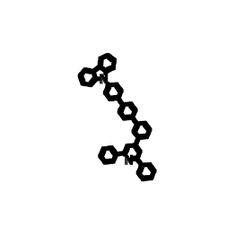 c1ccc(-c2cc(-c3cccc(-c4ccc(-c5ccc(-n6c7ccccc7c7ccccc76)cc5)cc4)c3)cc(-c3ccccc3)n2)cc1